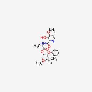 COC[C@H](OC(=O)[C@H](C)NC(=O)c1nccc(OC)c1O)[C@H](Oc1ccccc1)C(C)C